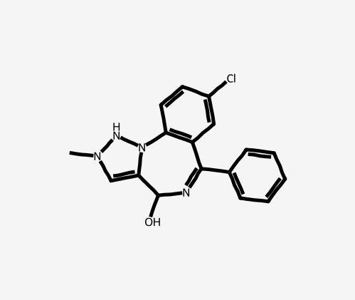 CN1C=C2C(O)N=C(c3ccccc3)c3cc(Cl)ccc3N2N1